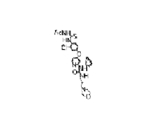 CC(=O)NC(=S)Nc1ccc(Oc2ccnc(NC(=O)NCCCN3CCOCC3)c2)cc1Cl.c1cc2cc-2c1